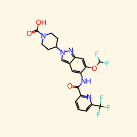 O=C(Nc1cc2cn(C3CCN(C(=O)O)CC3)nc2cc1OC(F)F)c1cccc(C(F)(F)F)n1